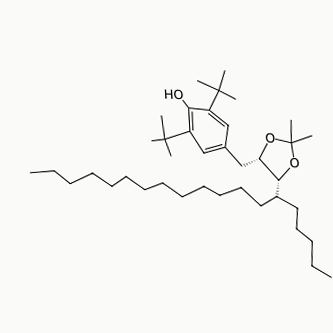 CCCCCCCCCCCCCC(CCCCC)[C@H]1OC(C)(C)O[C@H]1Cc1cc(C(C)(C)C)c(O)c(C(C)(C)C)c1